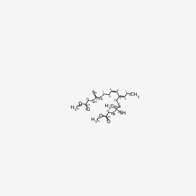 CC/C=C(\C=C/CCSC(=S)SCC(=O)OC)CSC(C)(S)SCC(=O)OC